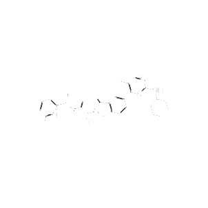 Cc1cccc([C@@H](CO)NC(=O)[C@@H](C)N2Cc3ccc(-c4nc(NC5CCOCC5)ncc4Cl)cc3C2=O)n1